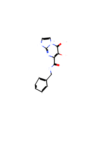 O=C(NCc1ccccc1)c1nc2[nH]ccn2c(=O)c1O